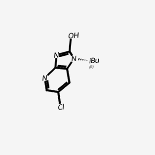 CC[C@@H](C)n1c(O)nc2ncc(Cl)cc21